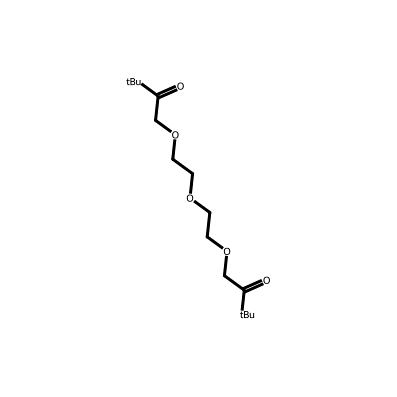 CC(C)(C)C(=O)COCCOCCOCC(=O)C(C)(C)C